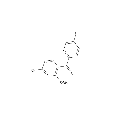 COc1cc(Cl)ccc1C(=O)c1ccc(F)cc1